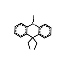 CCC1(CC)c2ccccc2N(I)c2ccccc21